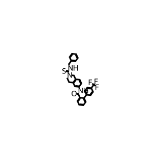 O=C(Nc1ccc2c(c1)CCN(C(=S)NCc1ccccc1)C2)c1ccccc1-c1ccc(C(F)(F)F)cc1